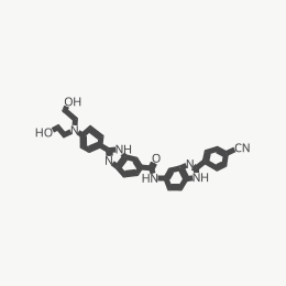 N#Cc1ccc(-c2nc3cc(NC(=O)c4ccc5nc(-c6ccc(N(CCO)CCO)cc6)[nH]c5c4)ccc3[nH]2)cc1